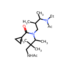 CCN(C(C)=O)C(C)C(C)CN(C(=O)C1CC1)C(C)C(C)(C)CNC(C)=O